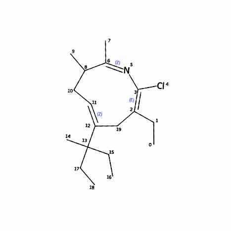 CC/C1=C(Cl)/N=C(/C)C(C)C/C=C(\C(C)(CC)CC)C1